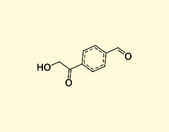 O=Cc1ccc(C(=O)CO)cc1